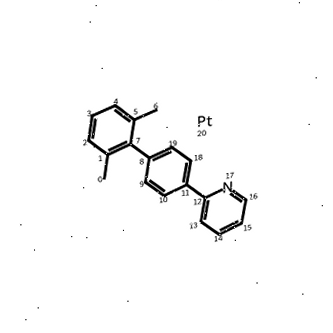 Cc1cccc(C)c1-c1ccc(-c2ccccn2)cc1.[Pt]